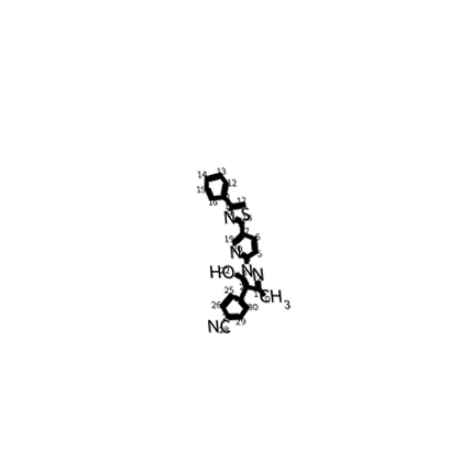 Cc1nn(-c2ccc(-c3nc(-c4ccccc4)cs3)cn2)c(O)c1-c1ccc(C#N)cc1